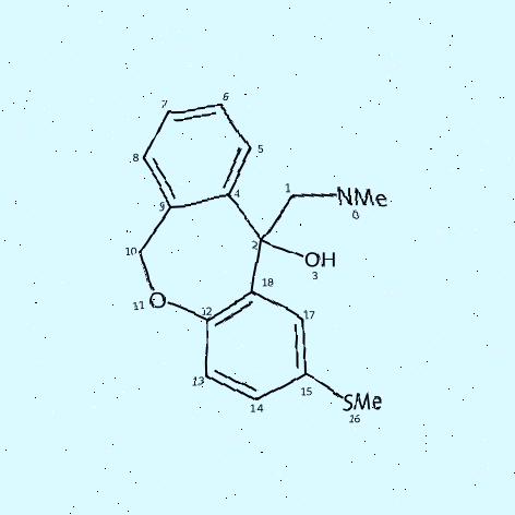 CNCC1(O)c2ccccc2COc2ccc(SC)cc21